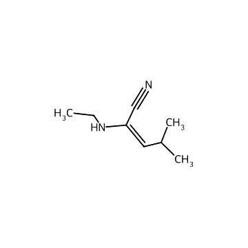 CCNC(C#N)=CC(C)C